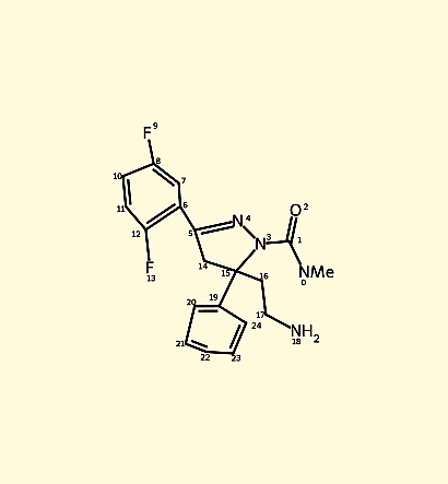 CNC(=O)N1N=C(c2cc(F)ccc2F)CC1(CCN)c1ccccc1